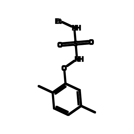 CCNS(=O)(=O)NOc1cc(C)ccc1C